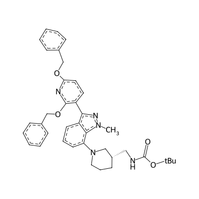 Cn1nc(-c2ccc(OCc3ccccc3)nc2OCc2ccccc2)c2cccc(N3CCC[C@@H](CNC(=O)OC(C)(C)C)C3)c21